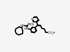 N#C/N=C(\Nc1cccc(/C(=C\CCCC(=O)O)c2cccnc2)c1)NC1CCCCCCC1